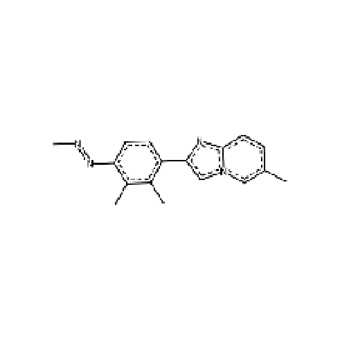 C/N=N/c1ccc(-c2cn3cc(C)ccc3n2)c(C)c1C